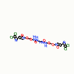 CN1Cc2c(Cl)cc(Cl)cc2C(c2ccc3c(=O)n(CCOCCOCCNC(=O)NCCCCNC(=O)NCCOCCOCCn4ccc5cc(C6CN(C)Cc7c(Cl)cc(Cl)cc76)ccc5c4=O)ccc3c2)C1